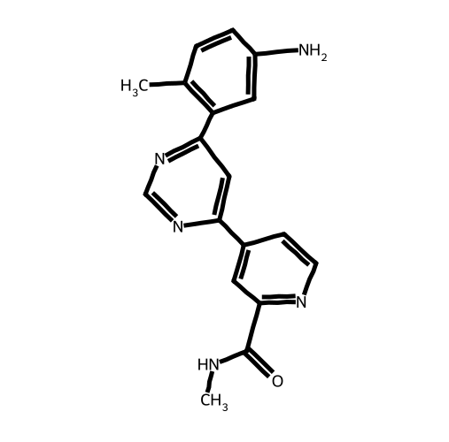 CNC(=O)c1cc(-c2cc(-c3cc(N)ccc3C)ncn2)ccn1